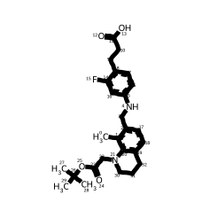 Cc1c(CNc2ccc(CCC(=O)O)c(F)c2)ccc2c1N(CC(=O)OC(C)(C)C)CCC2